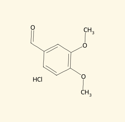 COc1ccc(C=O)cc1OC.Cl